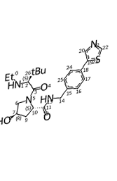 CCN[C@H](C(=O)N1C[C@H](O)C[C@H]1C(=O)NCc1ccc(-c2cncs2)cc1)C(C)(C)C